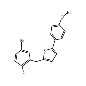 CCOc1ccc(-c2ccc(Cc3cc(Br)ccc3F)s2)cc1